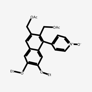 CCOc1cc2cc(COC(C)=O)c(COC(C)=O)c(-c3cc[n+]([O-])cc3)c2cc1OCC